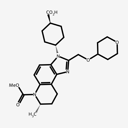 COC(=O)N1c2ccc3c(nc(COC4CCOCC4)n3[C@H]3CC[C@H](C(=O)O)CC3)c2CC[C@@H]1C